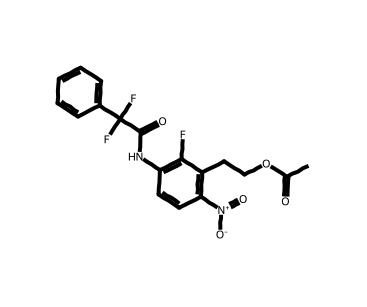 CC(=O)OCCc1c([N+](=O)[O-])ccc(NC(=O)C(F)(F)c2ccccc2)c1F